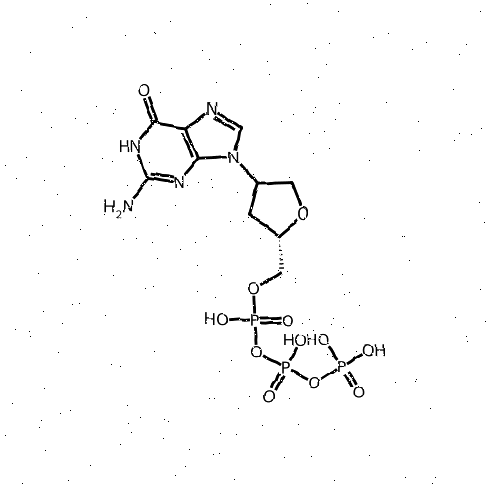 Nc1nc2c(ncn2C2CO[C@H](COP(=O)(O)OP(=O)(O)OP(=O)(O)O)C2)c(=O)[nH]1